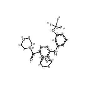 O=C(c1cnc(Nc2cccc(OC(F)(F)F)c2)c2c1C1CCC2CC1)N1CCOCC1